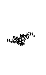 CCC(=O)Nc1ccc(-n2c(=S)ncc3[nH]c(C(C)C)nc32)cc1